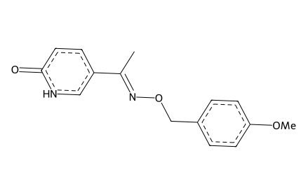 COc1ccc(CO/N=C(\C)c2ccc(=O)[nH]c2)cc1